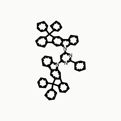 c1ccc(-c2nc(-n3c4ccccc4c4cc5c(cc43)-c3ccccc3C5(c3ccccc3)c3ccccc3)cc(-n3c4ccccc4c4cc5c(cc43)-c3ccccc3C5(c3ccccc3)c3ccccc3)n2)cc1